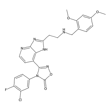 COc1ccc(CNCCc2nc3nccc(-c4noc(=O)n4-c4ccc(F)c(Cl)c4)c3[nH]2)c(OC)c1